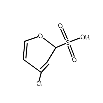 O=S(=O)(O)C1C=C(Cl)C=CO1